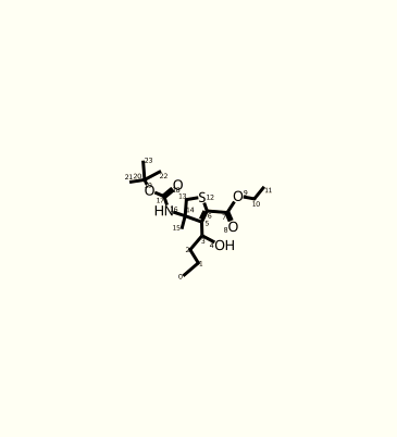 CCCC(O)C1=C(C(=O)OCC)SCC1(C)NC(=O)OC(C)(C)C